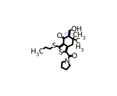 CCCSc1sc(C(=O)N2CCCC2)c2c1C(=O)/C(=C/O)C(C)(C)C2